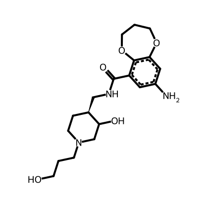 Nc1cc2c(c(C(=O)NC[C@@H]3CCN(CCCO)CC3O)c1)OCCCO2